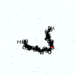 COc1cc2sc(C(=O)CCC(=O)O)cc2cc1CCCOc1nc2cc(C(=O)CCC(=O)OOC(=O)CCC(=O)c3cc4cc(OCCOc5ccc6sc(C(=O)CCC(=O)O)cc6c5)c(OC)cc4s3)sc2cc1OC